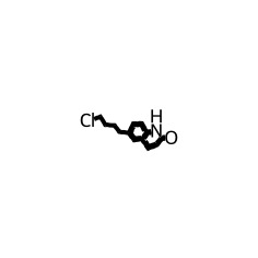 O=c1ccc2cc(CCCCCl)ccc2[nH]1